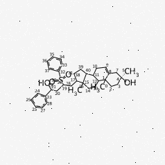 CC12CC[C@](C)(O)CC1=CCC1C2CCC2(C)C(CC(CC(O)c3ccccc3)S(=O)(=O)c3ccccc3)CCC12